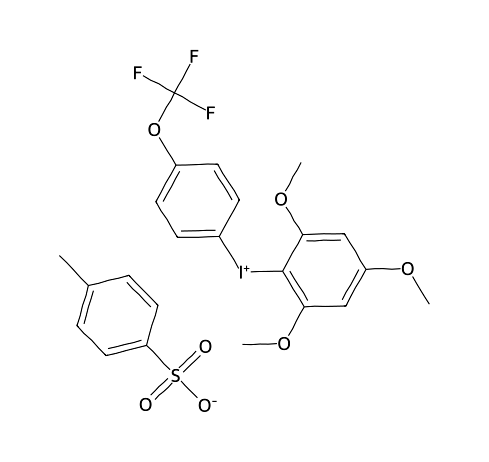 COc1cc(OC)c([I+]c2ccc(OC(F)(F)F)cc2)c(OC)c1.Cc1ccc(S(=O)(=O)[O-])cc1